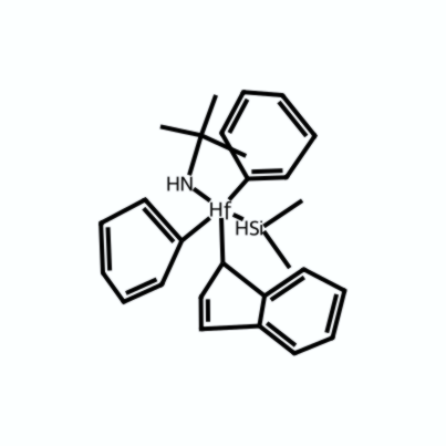 C[SiH](C)[Hf]([NH]C(C)(C)C)([c]1ccccc1)([c]1ccccc1)[CH]1C=Cc2ccccc21